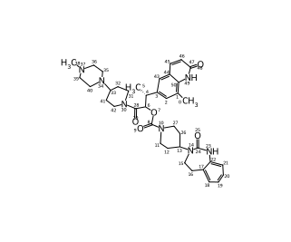 Cc1cc([C@@H](C)C(OC(=O)N2CCC(N3CCc4ccccc4NC3=O)CC2)C(=O)N2CCC(N3CCN(C)CC3)CC2)cc2ccc(=O)[nH]c12